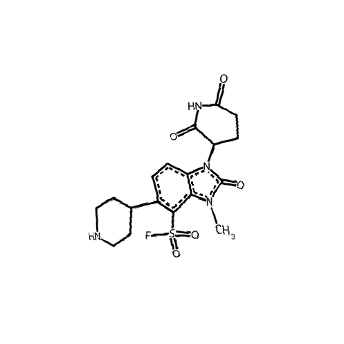 Cn1c(=O)n(C2CCC(=O)NC2=O)c2ccc(C3CCNCC3)c(S(=O)(=O)F)c21